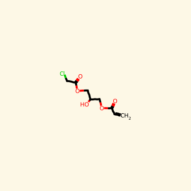 C=CC(=O)OCC(O)COC(=O)CCl